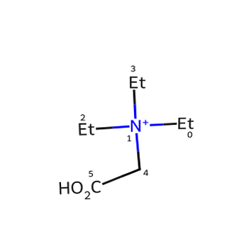 CC[N+](CC)(CC)CC(=O)O